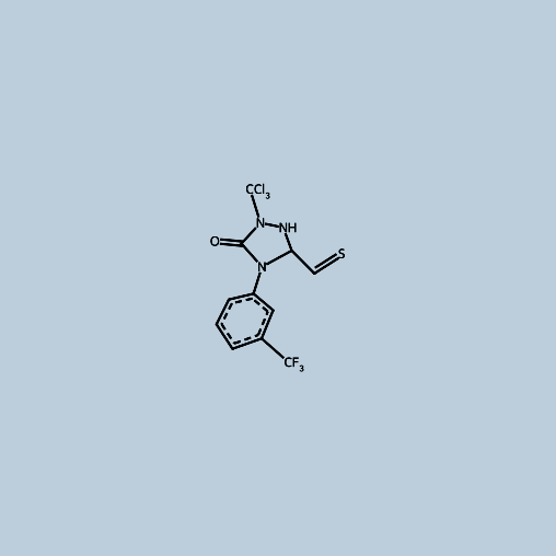 O=C1N(c2cccc(C(F)(F)F)c2)C(C=S)NN1C(Cl)(Cl)Cl